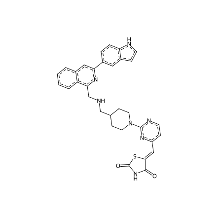 O=C1NC(=O)C(=Cc2ccnc(N3CCC(CNCc4nc(-c5ccc6[nH]ccc6c5)cc5ccccc45)CC3)n2)S1